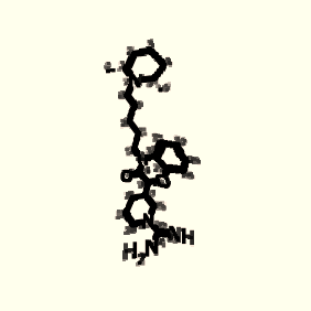 C[C@@H]1CCC[C@H](C)N1CCCCCN1C(=O)C(C2CCCN(C(=N)N)C2)Oc2ccccc21